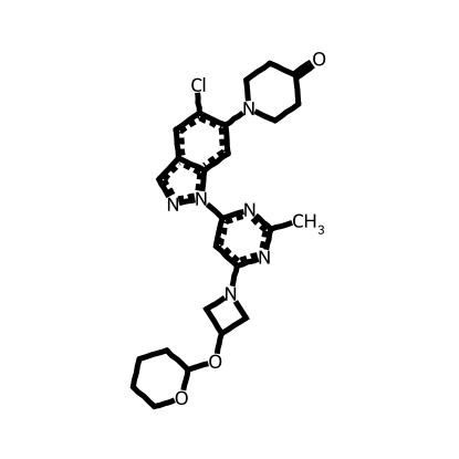 Cc1nc(N2CC(OC3CCCCO3)C2)cc(-n2ncc3cc(Cl)c(N4CCC(=O)CC4)cc32)n1